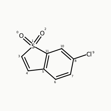 O=S1(=O)C=Cc2ccc(Cl)cc21